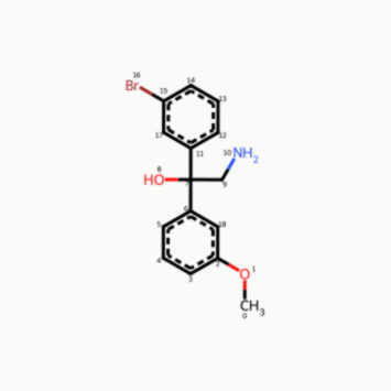 COc1cccc(C(O)(CN)c2cccc(Br)c2)c1